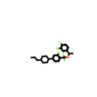 CCCC1CCC(c2ccc(C(F)(F)OC(C)c3ccc(F)c(F)c3)c(F)c2)CC1